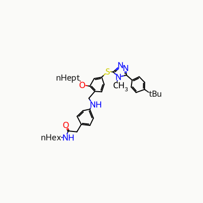 CCCCCCCOc1cc(Sc2nnc(-c3ccc(C(C)(C)C)cc3)n2C)ccc1CNc1ccc(CC(=O)NCCCCCC)cc1